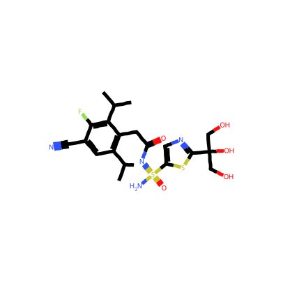 CC(C)c1cc(C#N)c(F)c(C(C)C)c1CC(=O)N=S(N)(=O)c1cnc(C(O)(CO)CO)s1